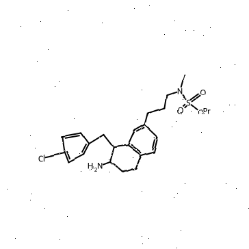 CCCS(=O)(=O)N(C)CCCc1ccc2c(c1)C(Cc1ccc(Cl)cc1)C(N)CC2